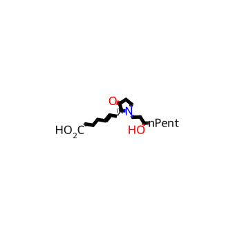 CCCCCC(O)CCN1CCC(=O)[C@H]1CC=CCCCC(=O)O